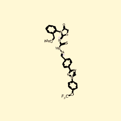 COCc1ccccc1N1C(=O)CS/C1=N\C(=S)N/N=C/c1ccc(-c2ncn(-c3ccc(OC(F)(F)F)cc3)n2)cc1